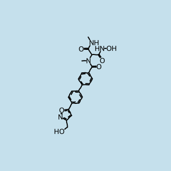 CNC(=O)C(C(=O)NO)N(C)C(=O)c1ccc(-c2ccc(-c3cc(CO)no3)cc2)cc1